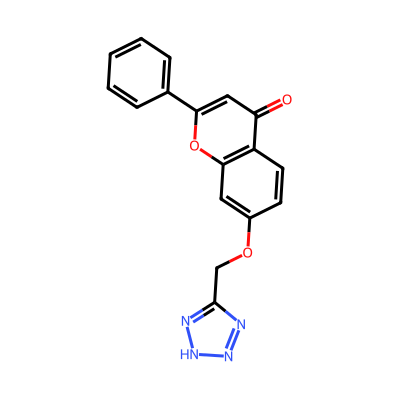 O=c1cc(-c2ccccc2)oc2cc(OCc3nn[nH]n3)ccc12